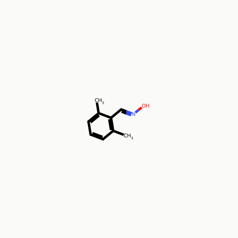 Cc1cccc(C)c1C=NO